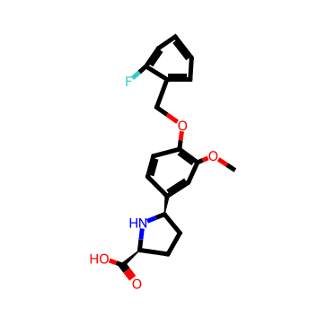 COc1cc([C@H]2CC[C@@H](C(=O)O)N2)ccc1OCc1ccccc1F